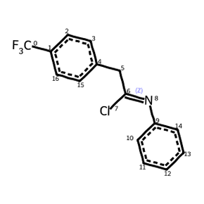 FC(F)(F)c1ccc(C/C(Cl)=N/c2ccccc2)cc1